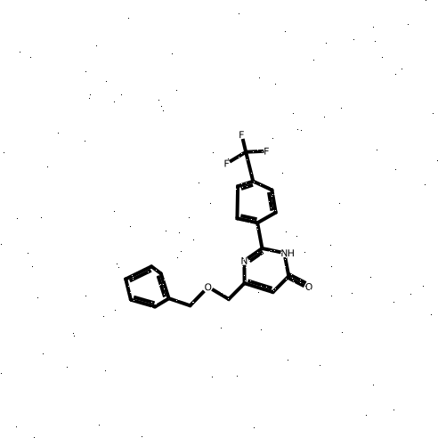 O=c1cc(COCc2ccccc2)nc(-c2ccc(C(F)(F)F)cc2)[nH]1